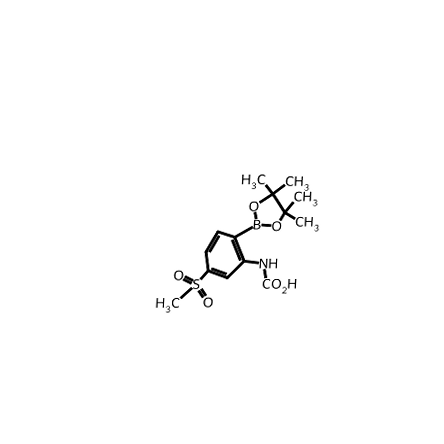 CC1(C)OB(c2ccc(S(C)(=O)=O)cc2NC(=O)O)OC1(C)C